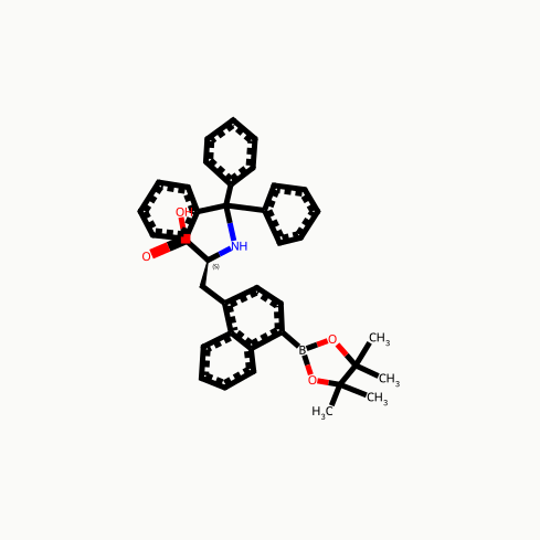 CC1(C)OB(c2ccc(C[C@H](NC(c3ccccc3)(c3ccccc3)c3ccccc3)C(=O)O)c3ccccc23)OC1(C)C